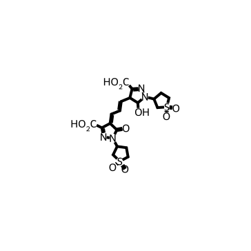 O=C(O)C1=NN(C2CCS(=O)(=O)C2)C(=O)/C1=C\C=C\C1C(C(=O)O)=NN(C2CCS(=O)(=O)C2)C1O